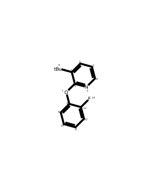 CC(C)(C)c1cccnc1Oc1ccccc1F